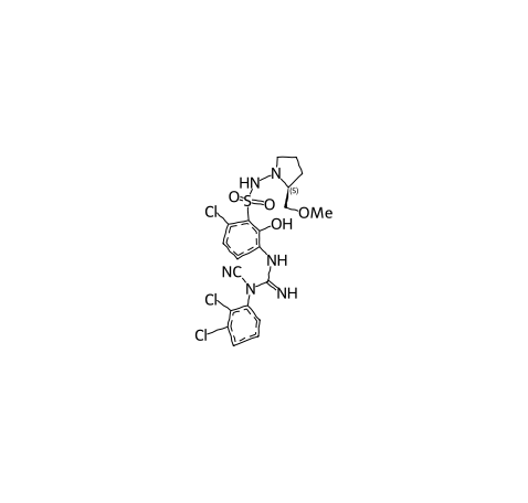 COC[C@@H]1CCCN1NS(=O)(=O)c1c(Cl)ccc(NC(=N)N(C#N)c2cccc(Cl)c2Cl)c1O